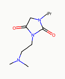 CC(C)N1CC(=O)N(CCN(C)C)C1=O